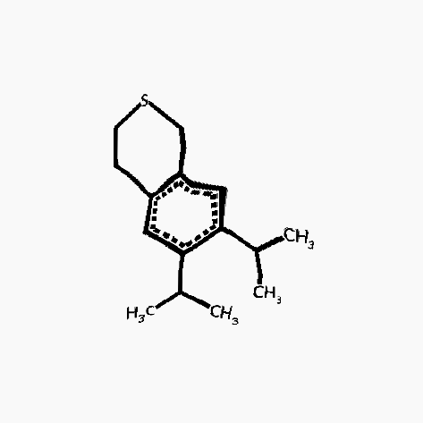 CC(C)c1cc2c(cc1C(C)C)CSCC2